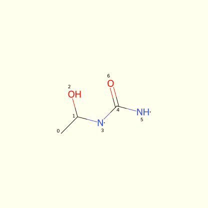 CC(O)[N]C([NH])=O